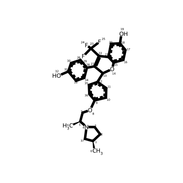 C[C@@H]1CCN([C@@H](C)COc2ccc(C3Oc4ccc(O)cc4C(C(F)(F)F)=C3c3ccc(O)cc3)cc2)C1